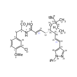 COc1ccc(CC(NC(=O)/C=C/C[C@H](O[Si](C)(C)C(C)(C)C)[C@H](C)/C=C/c2cnn(C(C)C)c2)C(=O)O)cc1Cl